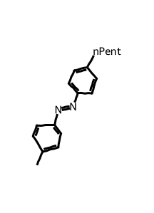 CCCCCc1ccc(/N=N/c2ccc(C)cc2)cc1